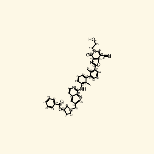 Cc1c(Nc2nccc3cc(CN4CC[C@@H](OC(=O)c5ccccc5)C4)cnc23)cccc1-c1cccc(-c2nc3c(=O)n(CCO)cc(C#N)c3o2)c1C